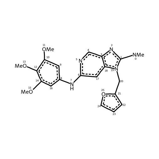 CNc1nc2cnc(Nc3cc(OC)c(OC)c(OC)c3)cc2n1Cc1ccco1